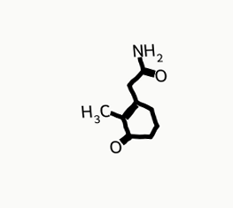 CC1=C(CC(N)=O)CCCC1=O